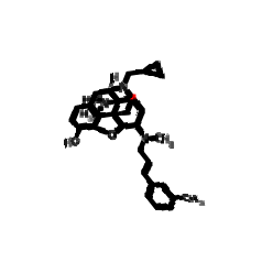 Cc1cccc(/C=C/CN(C)C2CC[C@@]3(N(C)C)[C@H]4Cc5ccc(O)c6c5[C@@]3(CCN4CC3CC3)C2O6)c1